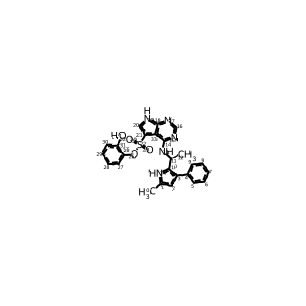 Cc1cc(-c2ccccc2)c([C@H](C)Nc2ncnc3[nH]cc(S(=O)(=O)Oc4ccccc4O)c23)[nH]1